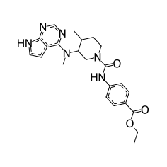 CCOC(=O)c1ccc(NC(=O)N2CCC(C)C(N(C)c3ncnc4[nH]ccc34)C2)cc1